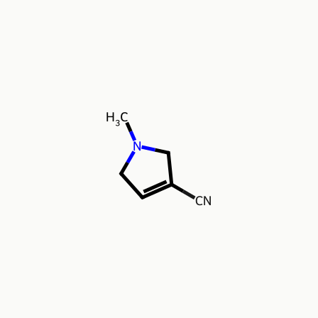 CN1CC=C(C#N)C1